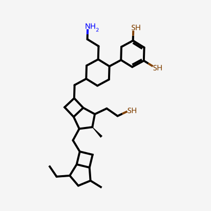 CCC1CC(C)C2CC(CC3C4CC(CC5CCC(C6C=C(S)C=C(S)C6)C(CCN)C5)C4C(CCS)[C@H]3C)C12